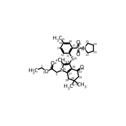 CCOC(=O)Cn1c(C)c(Sc2ccc(C)cc2S(=O)(=O)N2CCCC2)c2c1CC(C)(C)CC2=O